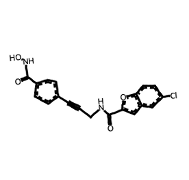 O=C(NO)c1ccc(C#CCNC(=O)c2cc3cc(Cl)ccc3o2)cc1